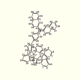 c1ccc(C2(c3ccccc3)c3ccccc3C3(c4ccccc4-c4ccc(-c5ccc(N(c6ccc7ccccc7c6)c6ccc7ccccc7c6)cc5)cc43)c3ccccc32)cc1